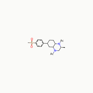 CC(=O)N1C[C@H](C)N(C(C)=O)C2CCC(c3ccc(S(C)(=O)=O)cc3)CC21